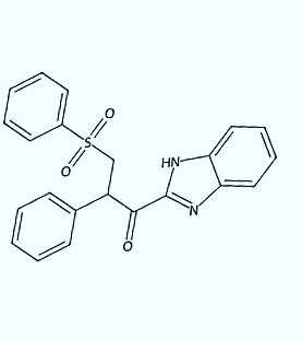 O=C(c1nc2ccccc2[nH]1)C(CS(=O)(=O)c1ccccc1)c1ccccc1